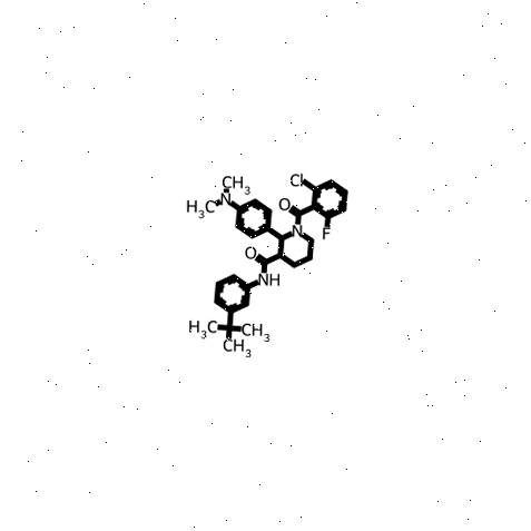 CN(C)c1ccc(C2C(C(=O)Nc3cccc(C(C)(C)C)c3)CCCN2C(=O)c2c(F)cccc2Cl)cc1